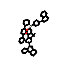 CC1(C)c2cc(-c3cc4ccccc4c4ccccc34)ccc2-c2ccc(N(c3ccc(-c4cccc5ccccc45)cc3)c3ccccc3-c3ccc(-c4ccccc4)cc3)cc21